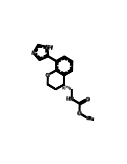 CC(C)(C)OC(=O)NC[C@@H]1CCOc2c(-c3cnc[nH]3)cccc21